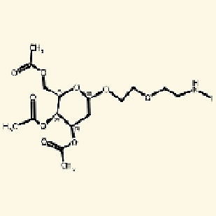 CC(=O)OC[C@H]1O[C@@H](OCCOCCNI)C[C@@H](OC(C)=O)[C@H]1OC(C)=O